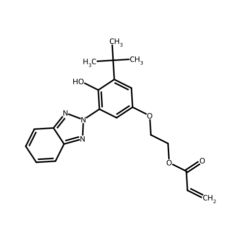 C=CC(=O)OCCOc1cc(-n2nc3ccccc3n2)c(O)c(C(C)(C)C)c1